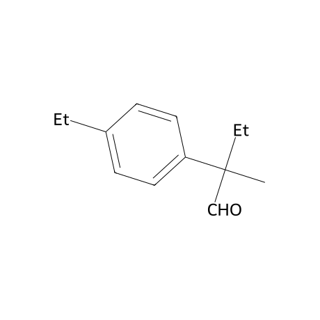 CCc1ccc(C(C)(C=O)CC)cc1